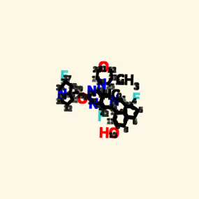 C#Cc1c(F)ccc2cc(O)cc(-c3ncc4c(N5CCOC[C@H](C)C5)nc(OC[C@@]56CCCN5C[C@H](F)C6)nc4c3F)c12